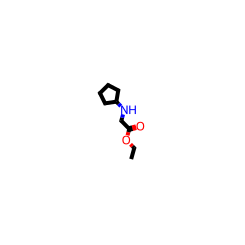 CCOC(=O)CNC1CCCC1